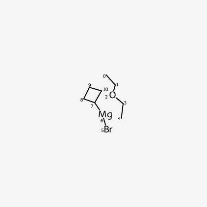 CCOCC.[Br][Mg][CH]1CCC1